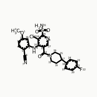 COc1ccc(C#N)c(Nc2c(C(=O)N3CCC(c4ccc(F)cc4)CC3)cnc(S(N)(=O)=O)c2Cl)c1